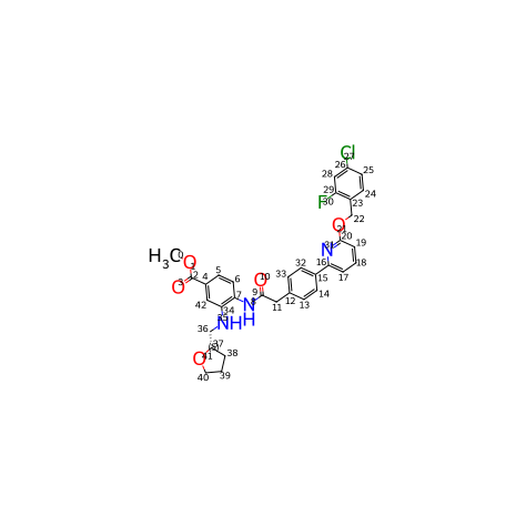 COC(=O)c1ccc(NC(=O)Cc2ccc(-c3cccc(OCc4ccc(Cl)cc4F)n3)cc2)c(NC[C@@H]2CCCO2)c1